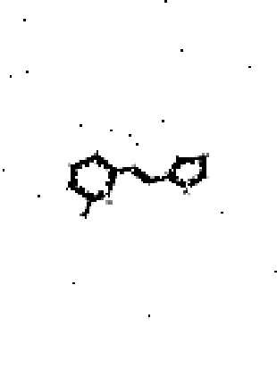 Cc1cccc(C=Cc2cccs2)n1